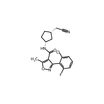 Cc1onc(-c2c(F)cccc2Cl)c1C(=O)N[C@@H]1CC[C@H](CC#N)C1